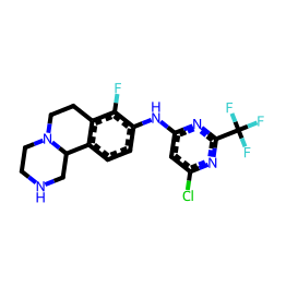 Fc1c(Nc2cc(Cl)nc(C(F)(F)F)n2)ccc2c1CCN1CCNCC21